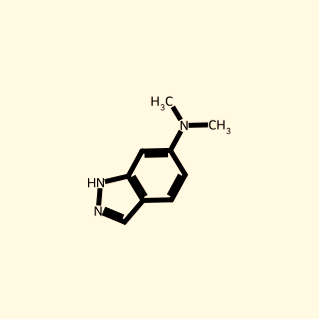 CN(C)c1ccc2cn[nH]c2c1